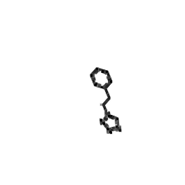 [CH](Cc1ccccc1)n1cnnn1